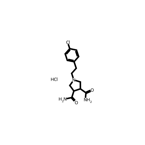 Cl.NC(=O)C1CN(CCc2ccc(Cl)cc2)CC1C(N)=O